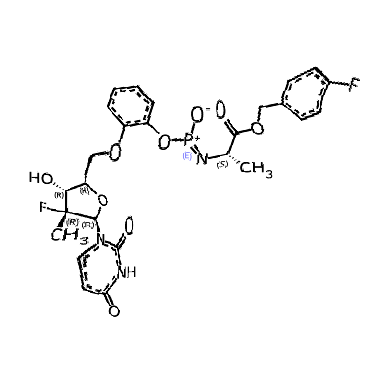 C[C@H](/N=[P+](\[O-])Oc1ccccc1OC[C@H]1O[C@@H](n2ccc(=O)[nH]c2=O)[C@](C)(F)[C@@H]1O)C(=O)OCc1ccc(F)cc1